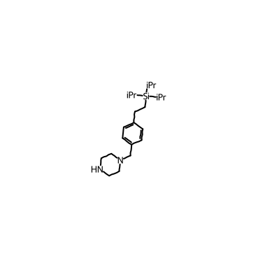 CC(C)[Si](CCc1ccc(CN2CCNCC2)cc1)(C(C)C)C(C)C